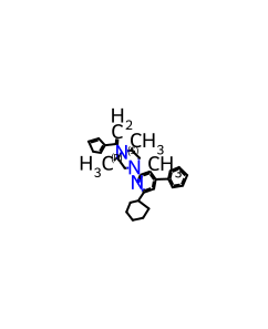 C=C(C1=CCC=C1)N1[C@H](C)CN(c2nc(C3CCCCC3)cc(-c3ccccc3)c2C)C[C@@H]1C